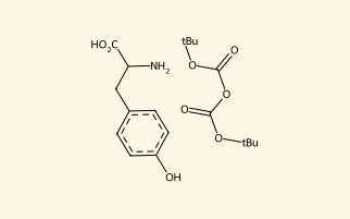 CC(C)(C)OC(=O)OC(=O)OC(C)(C)C.NC(Cc1ccc(O)cc1)C(=O)O